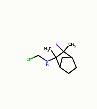 CC1(I)C2CCC(C2)C1(C)NCCl